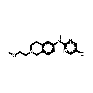 COCCN1CCc2cc(Nc3ncc(Cl)cn3)ccc2C1